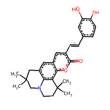 CC1(C)Cc2cc3cc(/C=C/c4ccc(O)c(O)c4)c(=O)oc3c3c2N(CCC3(C)C)C1